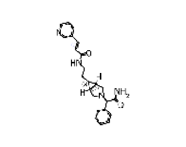 NC(=O)C(c1ccccc1)N1C[C@@H]2[C@@H](CCNC(=O)/C=C/c3cccnc3)[C@@H]2C1